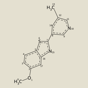 COc1ccc2sc(-c3cncc(C)c3)nc2c1